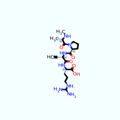 C#C[C@H](NC(=O)[C@@H]1CCCN1C(=O)[C@H](C)NC)C(=O)N[C@@H](CCCNC(N)N)C(=O)O